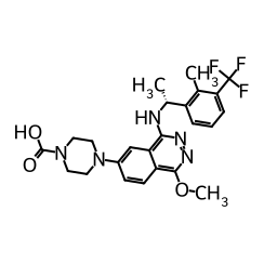 COc1nnc(N[C@H](C)c2cccc(C(F)(F)F)c2C)c2cc(N3CCN(C(=O)O)CC3)ccc12